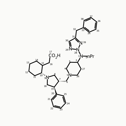 CCCN(C1CCN(C[C@H]2CN([C@@H]3CCCCC3CC(=O)O)C[C@@H]2c2ccccc2)CC1)n1ncc(Cc2ccccc2)n1